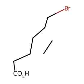 CC.O=C(O)CCCCCBr